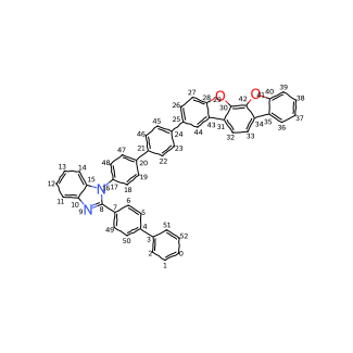 c1ccc(-c2ccc(-c3nc4ccccc4n3-c3ccc(-c4ccc(-c5ccc6oc7c(ccc8c9ccccc9oc87)c6c5)cc4)cc3)cc2)cc1